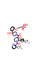 CCC[C@H]1N(C(=O)c2ncccc2C(F)(F)F)CCC[C@@]1(Oc1csc(C(F)(F)F)c1)C(=O)N1CCC(O)(c2ccccc2OCCCP(C)(=O)O)CC1